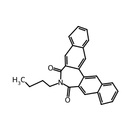 CCCCn1c(=O)c2cc3ccccc3cc2c2cc3ccccc3cc2c1=O